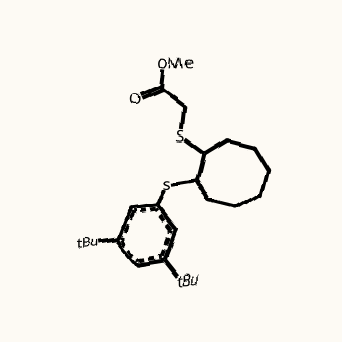 COC(=O)CSC1CCCCCCC1Sc1cc(C(C)(C)C)cc(C(C)(C)C)c1